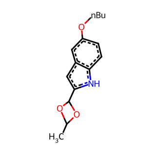 CCCCOc1ccc2[nH]c(C3OC(C)O3)cc2c1